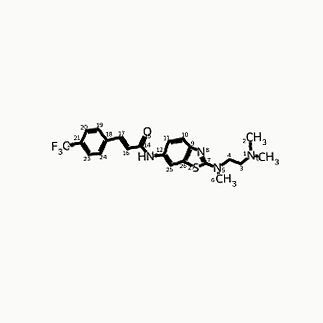 CN(C)CCN(C)c1nc2ccc(NC(=O)C=Cc3ccc(C(F)(F)F)cc3)cc2s1